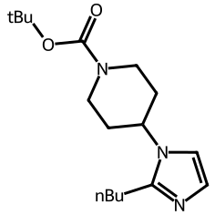 CCCCc1nccn1C1CCN(C(=O)OC(C)(C)C)CC1